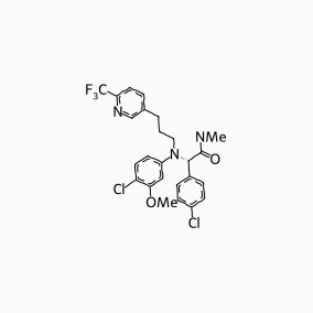 CNC(=O)[C@H](c1ccc(Cl)cc1)N(CCCc1ccc(C(F)(F)F)nc1)c1ccc(Cl)c(OC)c1